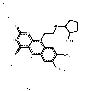 Cc1cc2nc3c(=O)[nH]c(=O)nc-3n(CCNC3CCCC3C(=O)O)c2cc1C